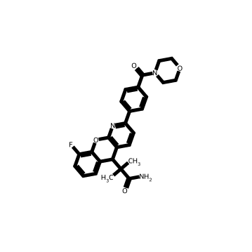 CC(C)(C(N)=O)C1c2ccc(-c3ccc(C(=O)N4CCOCC4)cc3)nc2Oc2c(F)cccc21